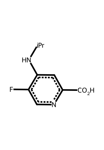 CC(C)Nc1cc(C(=O)O)ncc1F